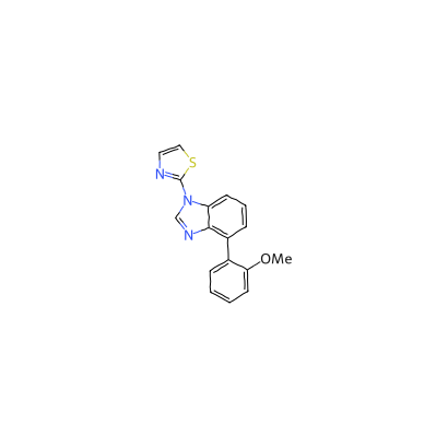 COc1ccccc1-c1cccc2c1ncn2-c1nccs1